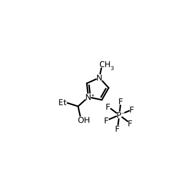 CCC(O)[n+]1ccn(C)c1.F[P-](F)(F)(F)(F)F